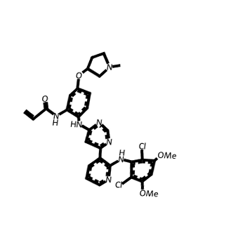 C=CC(=O)Nc1cc(OC2CCN(C)C2)ccc1Nc1cc(-c2cccnc2Nc2c(Cl)c(OC)cc(OC)c2Cl)ncn1